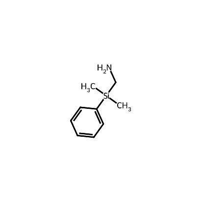 C[Si](C)(CN)c1ccccc1